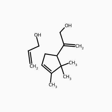 C=C(CO)C1CC=C(C)C1(C)C.C=CCO